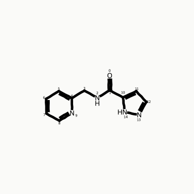 O=C(NCc1ccccn1)c1ccn[nH]1